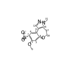 COc1cc2c(cc1[N+](=O)[O-])-c1cnn(C)c1CCO2